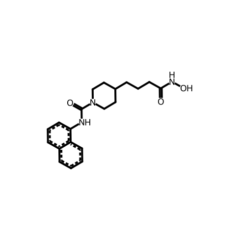 O=C(CCCC1CCN(C(=O)Nc2cccc3ccccc23)CC1)NO